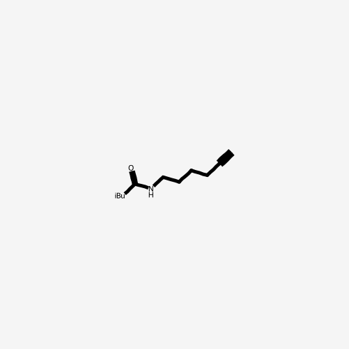 C#CCCCCNC(=O)C(C)CC